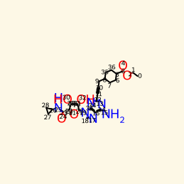 CCOC(=O)C1CCC(CC#Cc2nc(N)c3ncn(C4O[C@H](C(=O)NC5CC5)[C@H](O)[C@@H]4O)c3n2)CC1